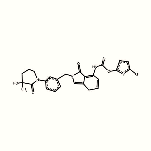 CC1(O)CCCN(c2cccc(CN3C=C4CC=CC(NC(=O)Oc5ccc(Cl)s5)=C4C3=O)c2)C1=O